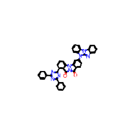 O=c1c2ccc(-n3c4ccccc4n4c5ccccc5nc34)cc2n2c3cccc(-c4nc(-c5ccccc5)nc(-c5ccccc5)n4)c3c(=O)n12